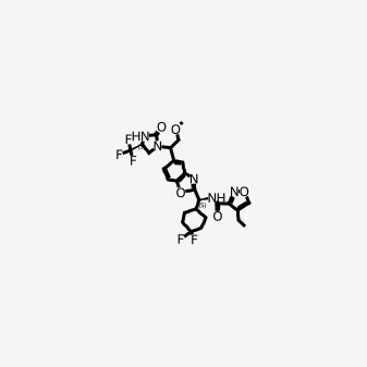 CCc1conc1C(=O)N[C@H](c1nc2cc(C(COC)N3C[C@@H](C(F)(F)F)NC3=O)ccc2o1)C1CCC(F)(F)CC1